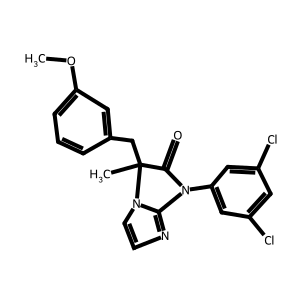 COc1cccc(CC2(C)C(=O)N(c3cc(Cl)cc(Cl)c3)c3nccn32)c1